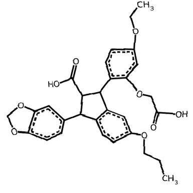 CCCOc1ccc2c(c1)C(c1ccc(OCC)cc1OCC(=O)O)C(C(=O)O)C2c1ccc2c(c1)OCO2